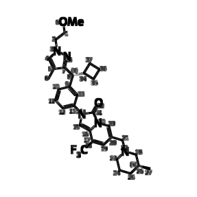 COCCn1cc(C)c([C@@H](c2cccc(-n3cc4c(C(F)(F)F)cc(CN5CCC[C@H](C)C5)cn4c3=O)c2)C2CCC2)n1